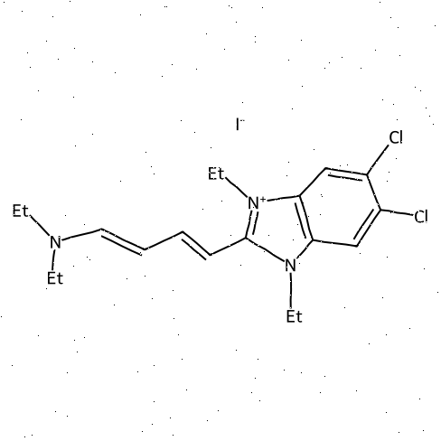 CCN(C=CC=Cc1n(CC)c2cc(Cl)c(Cl)cc2[n+]1CC)CC.[I-]